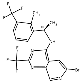 Cc1c([C@@H](C)Nc2nc(C(F)(F)F)nc3cnc(Br)cc23)cccc1C(F)(F)F